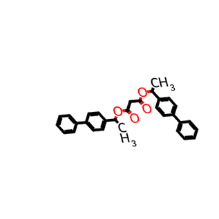 CC(OC(=O)CC(=O)OC(C)c1ccc(-c2ccccc2)cc1)c1ccc(-c2ccccc2)cc1